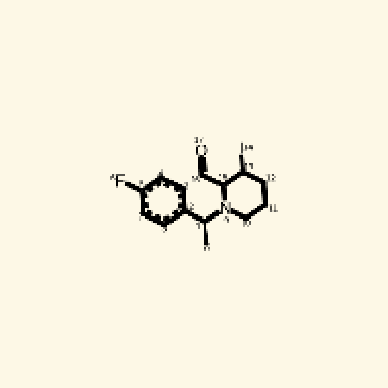 C[C@@H](c1ccc(F)cc1)N1CCCC(I)C1C=O